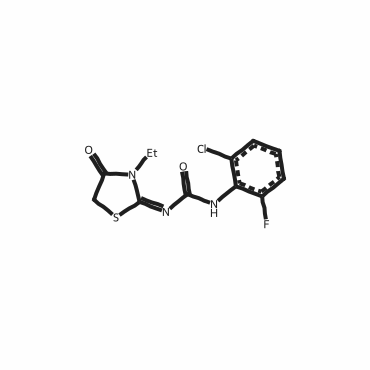 CCN1C(=O)CSC1=NC(=O)Nc1c(F)cccc1Cl